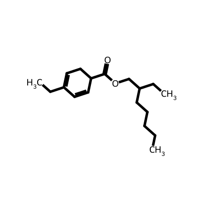 CCCCCC(CC)COC(=O)C1C=CC(CC)=CC1